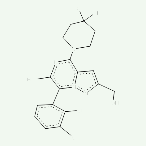 Cc1nc(N2CCC(C)(C)CC2)c2cc(CO)nn2c1-c1cccc(Cl)c1Cl